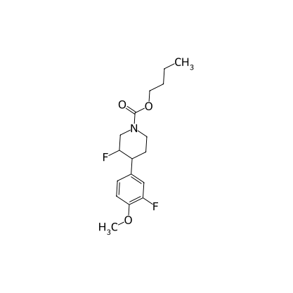 CCCCOC(=O)N1CCC(c2ccc(OC)c(F)c2)C(F)C1